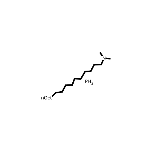 CCCCCCCCCCCCCCCCCCN(C)C.P